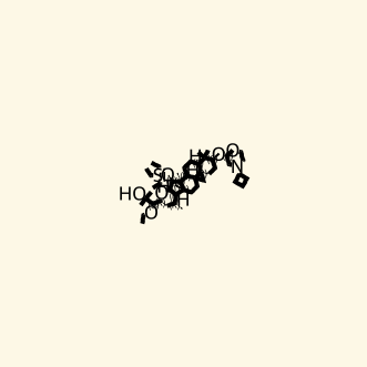 CCO[C@@H]([C@H]1C[C@@H](C)[C@H]2[C@H](O1)[C@H](O[Si](CC)(CC)CC)[C@@]1(C)[C@@H]3CC[C@H]4C(C)(C)[C@@H](O[C@H]5CN(C6CCC6)CCO5)CC[C@@]45CC35CC[C@]21C)C(C)(C)O